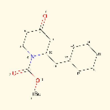 CC(C)(C)OC(=O)N1CCC(=O)CC1CC1CCCCC1